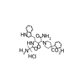 CC(C)(N)C(=O)NC(Cc1c[nH]c2ccccc12)C(=O)C(C(N)=O)N1CCC(C(=O)O)(c2ccccc2)CC1.Cl